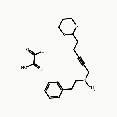 CN(CC#CCCC1SCCCS1)CCc1ccccc1.O=C(O)C(=O)O